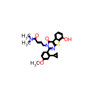 COc1ccc(-c2nc3sc4c(O)cccc4c3c(=O)n2C/C=C/C(=O)N(C)C)c(C2CC2)c1